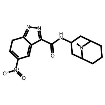 CN1C2CCCC1CC(NC(=O)C1=NN=C3CC=C([N+](=O)[O-])C=C31)C2